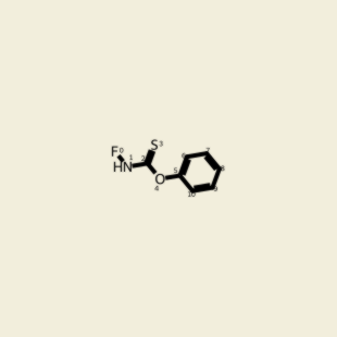 FNC(=S)Oc1ccccc1